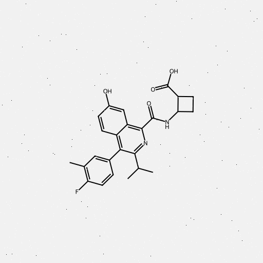 Cc1cc(-c2c(C(C)C)nc(C(=O)NC3CCC3C(=O)O)c3cc(O)ccc23)ccc1F